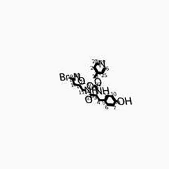 O=C(NC(Cc1ccc(O)cc1)C(=O)NCC1CC(Br)=NO1)OCc1ccncc1